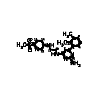 Cc1cccc(-c2cc(NCCNc3ccc(S(C)(=O)=O)nc3)nc(N)n2)c1C